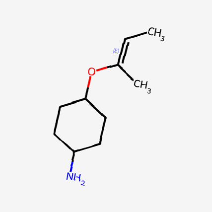 C/C=C(\C)OC1CCC(N)CC1